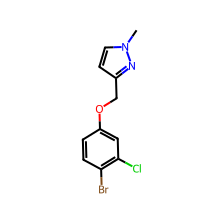 Cn1ccc(COc2ccc(Br)c(Cl)c2)n1